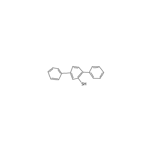 Sc1cc(-c2ccccc2)ccc1-c1ccccc1